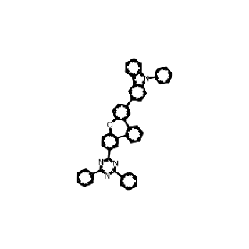 c1ccc(-c2nc(-c3ccccc3)nc(-c3ccc4c(c3)-c3ccccc3-c3cc(-c5ccc6c(c5)c5ccccc5n6-c5ccccc5)ccc3O4)n2)cc1